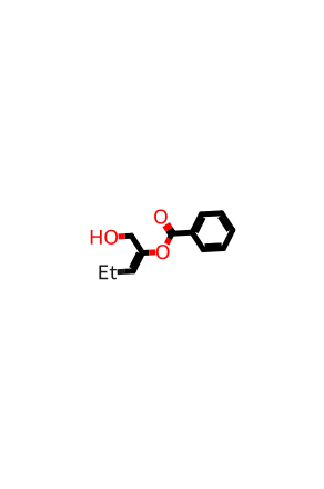 CCC=C(CO)OC(=O)c1ccccc1